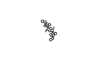 Fc1cc(N(c2ccccc2)c2cccc3c2oc2ccc4ccccc4c23)c2ccc3c(F)cc(N(c4ccccc4)c4cccc5c4oc4ccc6ccccc6c45)c4ccc1c2c34